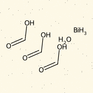 O.O=CO.O=CO.O=CO.[BiH3]